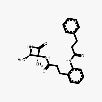 CC(=O)O[C@H]1NC(=O)[C@@]1(C)NC(=O)CCc1ccccc1NC(=O)CCc1ccccc1